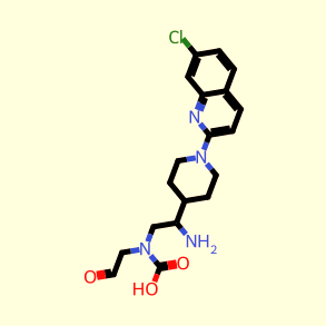 NC(CN(CC=O)C(=O)O)C1CCN(c2ccc3ccc(Cl)cc3n2)CC1